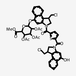 COC(=O)C1OC(Oc2cc3c(c4ccccc24)C(CCl)CN3C(=O)c2ccc(C(=O)N3CC(CCl)c4c3cc(O)c3ccccc43)s2)C(OC(C)=O)C(OC(C)=O)C1OC(C)=O